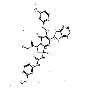 CCCNC(=O)C1CC(C)(NC(=O)Nc2cccc(SC(F)(F)F)c2)c2nc(B3Oc4ccccc4O3)c(NCc3cccc(C(F)(F)F)c3)c(=O)n21